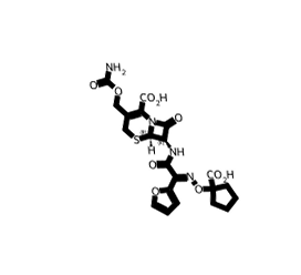 NC(=O)OCC1=C(C(=O)O)N2C(=O)[C@@H](NC(=O)C(=NOC3(C(=O)O)CCCC3)c3ccco3)[C@H]2SC1